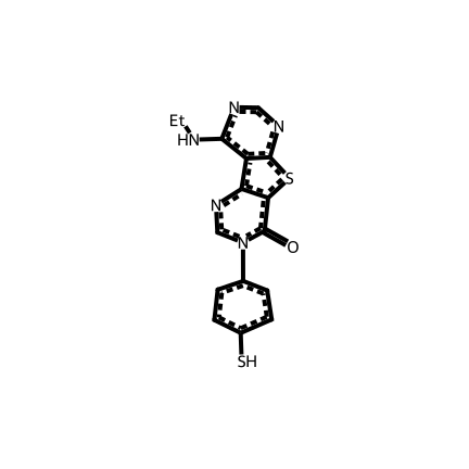 CCNc1ncnc2sc3c(=O)n(-c4ccc(S)cc4)cnc3c12